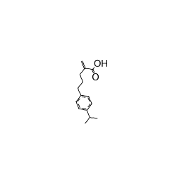 C=C(CCCc1ccc(C(C)C)cc1)C(=O)O